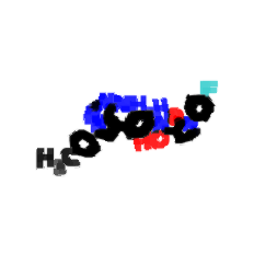 C[C@H]1CC[C@H](c2cc(-c3ccc(NC(O)c4cccn(-c5ccc(F)cc5)c4=O)cc3)c3c(N)ncnn32)CC1